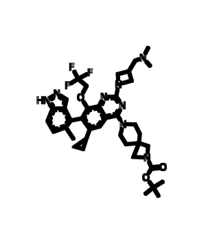 Cc1ccc2[nH]ncc2c1-c1c(C2CC2)cc2c(N3CCC4(CC3)CN(C(=O)OC(C)(C)C)C4)nc(N3CC(CN(C)C)C3)nc2c1OCC(F)(F)F